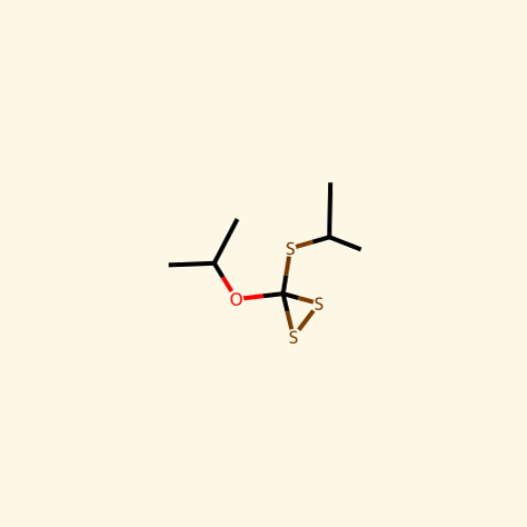 CC(C)OC1(SC(C)C)SS1